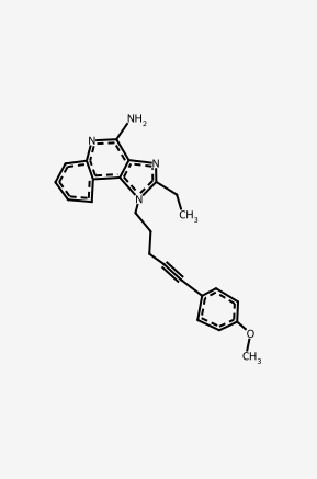 CCc1nc2c(N)nc3ccccc3c2n1CCCC#Cc1ccc(OC)cc1